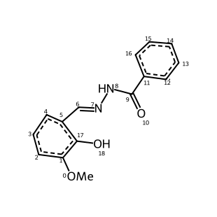 COc1cccc(C=NNC(=O)c2[c]cccc2)c1O